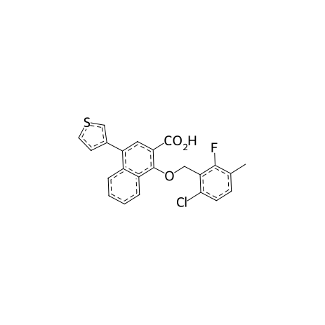 Cc1ccc(Cl)c(COc2c(C(=O)O)cc(-c3ccsc3)c3ccccc23)c1F